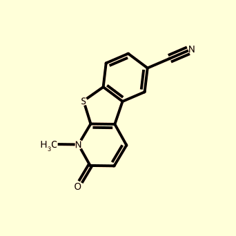 Cn1c(=O)ccc2c3cc(C#N)ccc3sc21